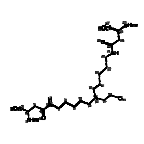 CCCCCCCCC(CCCCCC)CC(=O)NCCCCCN(CCCl)CCCCCNC(=O)CC(CCCCCC)CCCCCCCC